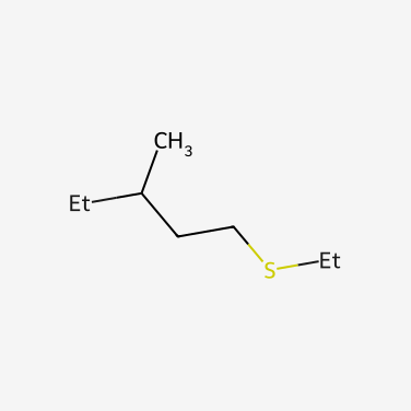 CCSCCC(C)CC